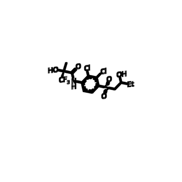 CCC(O)CS(=O)(=O)c1ccc(NC(=O)[C@@](C)(O)C(F)(F)F)c(Cl)c1Cl